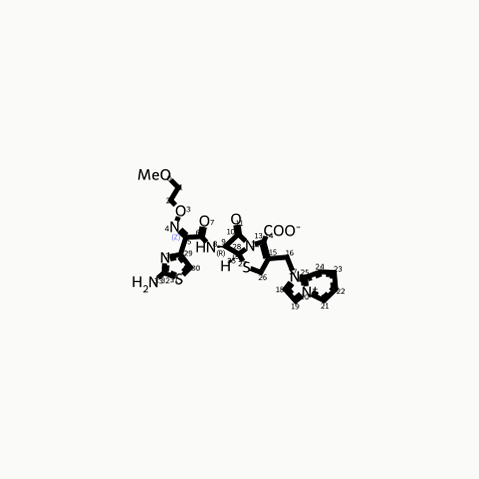 COCCO/N=C(\C(=O)N[C@@H]1C(=O)N2C(C(=O)[O-])=C(Cn3cc[n+]4ccccc34)CS[C@@H]12)c1csc(N)n1